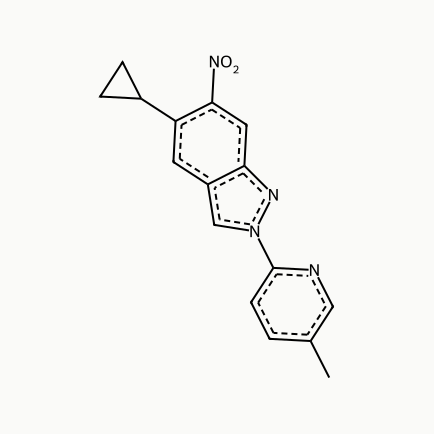 Cc1ccc(-n2cc3cc(C4CC4)c([N+](=O)[O-])cc3n2)nc1